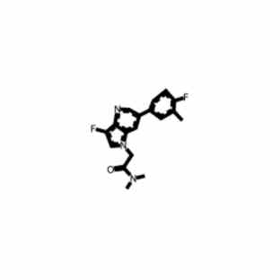 Cc1cc(-c2cnc3c(F)cn(CC(=O)N(C)C)c3c2)ccc1F